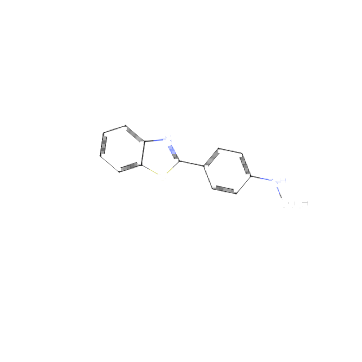 O=S(=O)(O)Nc1ccc(-c2nc3ccccc3s2)cc1